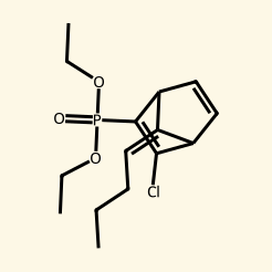 CCCC=C1C2C=CC1C(P(=O)(OCC)OCC)=C2Cl